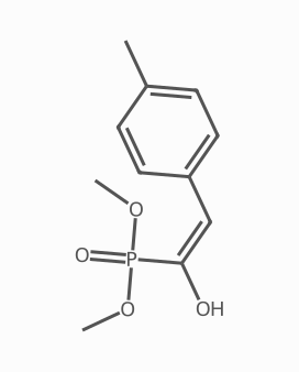 COP(=O)(OC)C(O)=Cc1ccc(C)cc1